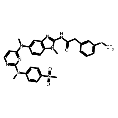 CN(c1ccc2c(c1)nc(NC(=O)Cc1cccc(SC(F)(F)F)c1)n2C)c1ccnc(N(C)c2ccc(S(C)(=O)=O)cc2)n1